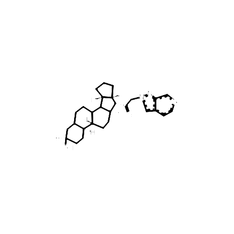 C[C@@]1(O)CC[C@H]2C(CCC3C4[C@@H]5CCC[C@@H]5[C@H](C(=O)Cn5cc6ccncc6n5)[C@@]4(C)CC[C@@H]32)C1